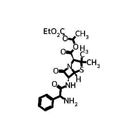 CCOC(=O)OC(C)OC(=O)[C@@H]1N2C(=O)[C@@H](NC(=O)C(N)c3ccccc3)[C@H]2SC1(C)C